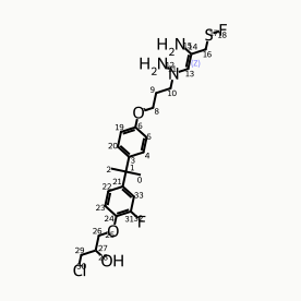 CC(C)(c1ccc(OCCCN(N)/C=C(\N)CSF)cc1)c1ccc(OCC(O)CCl)c(F)c1